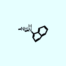 CNCNc1cccc2ccccc12